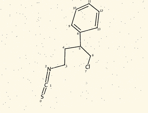 S=C=NCCC(CCl)c1ccccc1